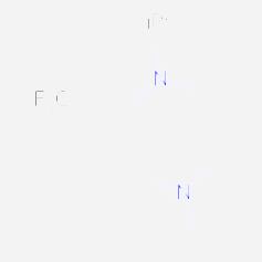 CC(C)N1CCN(C)CC1C(F)(F)F